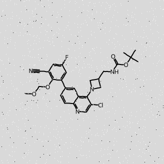 COCOc1c(C#N)cc(F)cc1-c1ccc2ncc(Cl)c(N3CC(CNC(=O)OC(C)(C)C)C3)c2c1